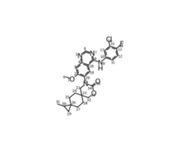 COc1cc2ncnc(Nc3ccc(F)c(Cl)c3)c2cc1N1CC2(CCC3(CC2)CC3C)COC1=O